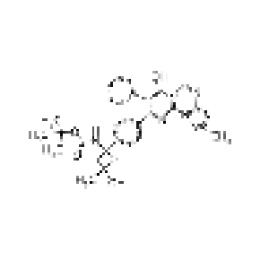 Cc1cc2ncc3c(O)c(-c4ccccc4)c(-c4ccc([C@]5(NC(=O)OC(C)(C)C)C[C@](C)(O)C5)cc4)nc3n2n1